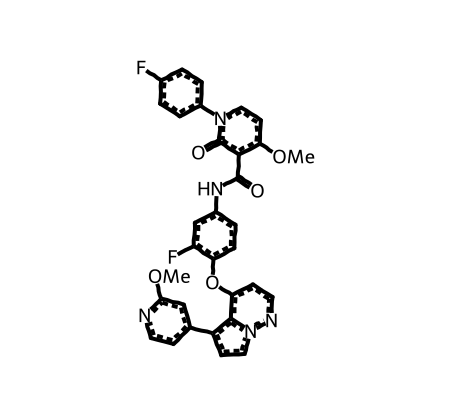 COc1cc(-c2ccn3nccc(Oc4ccc(NC(=O)c5c(OC)ccn(-c6ccc(F)cc6)c5=O)cc4F)c23)ccn1